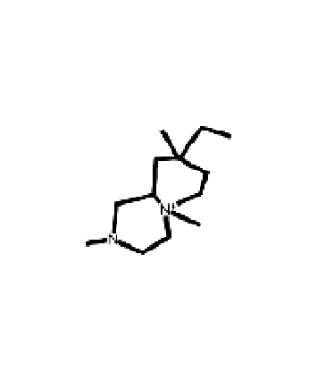 CCC1(C)CC[N+]2(C)CCN(C)CC2C1